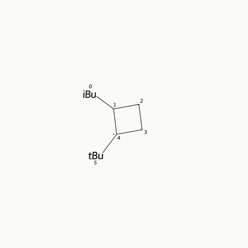 CCC(C)C1CC[C]1C(C)(C)C